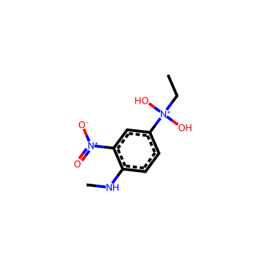 CC[N+](O)(O)c1ccc(NC)c([N+](=O)[O-])c1